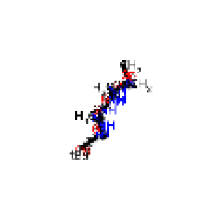 C=CCOC(=O)c1cc(NC(=O)c2nc(NC(=O)CCNC(=O)c3cc(NC(=O)c4nccn4CCCCCC(=O)OC(C)(C)C)cn3C)cn2C)cn1C